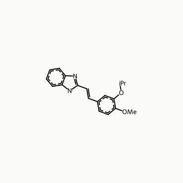 COc1ccc(C=CC2=Nc3ccccc3[N]2)cc1OC(C)C